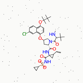 C=CC1C[C@]1(NC(=O)[C@@H]1C[C@@H](Oc2ccc(OC(C)(C)C(C)(C)C)c3ccc(Cl)cc23)CN1C(=O)C(NC)C(C)(C)C)C(=O)NS(=O)(=O)C1CC1